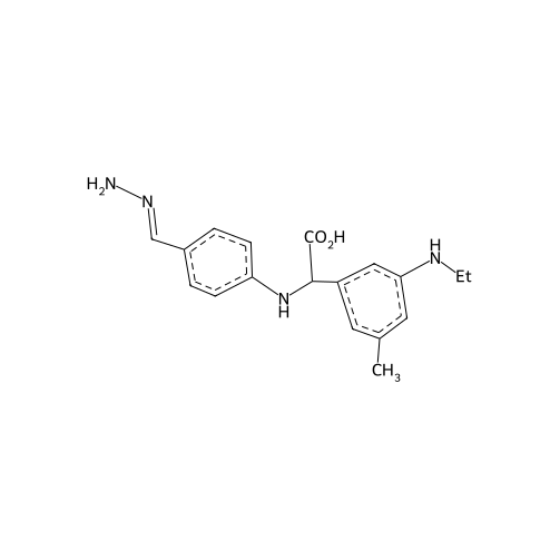 CCNc1cc(C)cc(C(Nc2ccc(C=NN)cc2)C(=O)O)c1